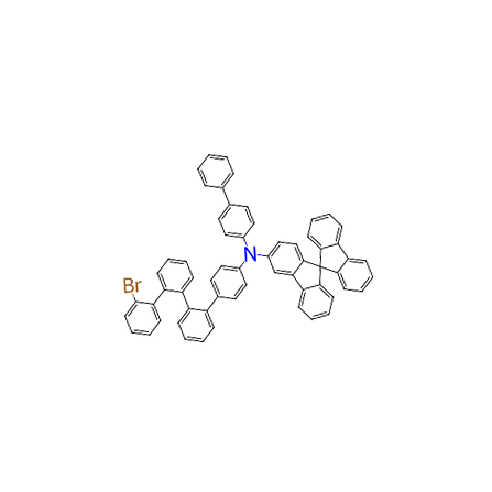 Brc1ccccc1-c1ccccc1-c1ccccc1-c1ccc(N(c2ccc(-c3ccccc3)cc2)c2ccc3c(c2)-c2ccccc2C32c3ccccc3-c3ccccc32)cc1